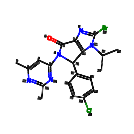 Cc1cc(N2C(=O)c3nc(Br)n(C(C)C)c3C2c2ccc(Cl)cc2)nc(C)n1